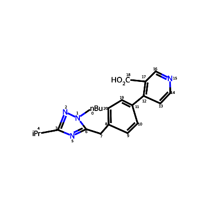 CCCCn1nc(C(C)C)nc1Cc1ccc(-c2ccncc2C(=O)O)cc1